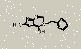 Cc1cc2c(O)n(CCc3ccccc3)cnc-2n1